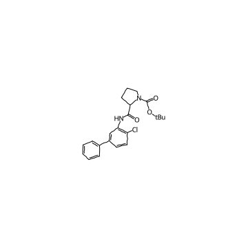 CC(C)(C)OC(=O)N1CCCC1C(=O)Nc1cc(-c2ccccc2)ccc1Cl